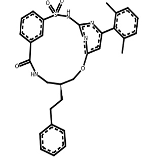 Cc1cccc(C)c1-c1cc2nc(n1)NS(=O)(=O)c1cccc(c1)C(=O)NC[C@H](CCc1ccccc1)CO2